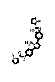 BN1C(c2ccc(NC(=O)[C@@H]3CCCN3I)cc2)CCC1c1ccc2nc([C@@H]3CCCN3I)[nH]c2c1